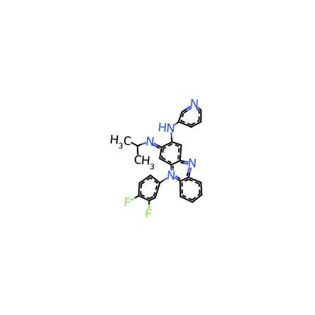 CC(C)/N=c1\cc2n(-c3ccc(F)c(F)c3)c3ccccc3nc-2cc1Nc1cccnc1